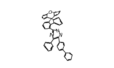 c1ccc(-c2ccc(-c3nnc(-c4cccc5c4-c4ccccc4C54c5ccccc5Oc5ccccc54)nc3-c3ccccc3)cc2)cc1